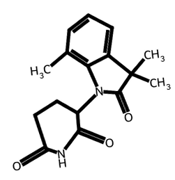 Cc1cccc2c1N(C1CCC(=O)NC1=O)C(=O)C2(C)C